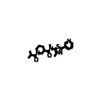 Cc1nc(-c2cccnc2)sc1N(C)C(=O)C1CCCN(C(=O)C(C)C)C1